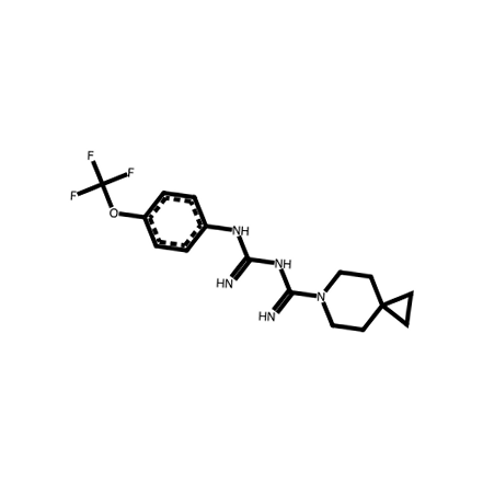 N=C(NC(=N)N1CCC2(CC1)CC2)Nc1ccc(OC(F)(F)F)cc1